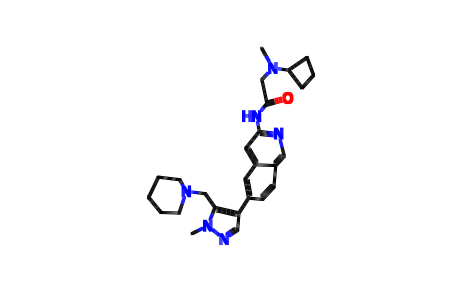 CN(CC(=O)Nc1cc2cc(-c3cnn(C)c3CN3CCCCC3)ccc2cn1)C1CCC1